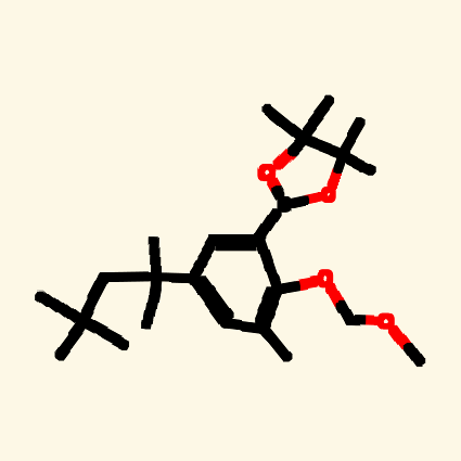 COCOc1c(C)cc(C(C)(C)CC(C)(C)C)cc1B1OC(C)(C)C(C)(C)O1